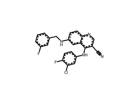 N#Cc1cnc2ccc(NCc3cccc(F)c3)cc2c1Nc1ccc(F)c(Cl)c1